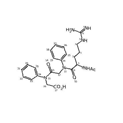 CC(=O)NC(CCCNC(=N)N)C(=O)N(CC(=O)N(CC(=O)O)c1ccccc1)c1ccccc1